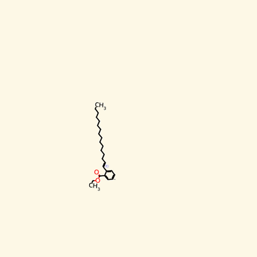 CCCCCCCCCCCCCC/C=C/c1cc[c]cc1C(=O)OCC